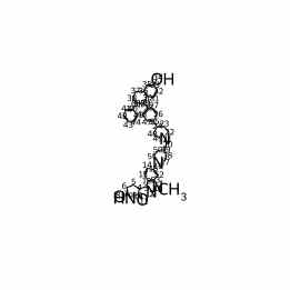 Cn1nc(C2CCC(=O)NC2=O)c2ccc(N3CCC(CN4CCC(c5ccc([C@@H]6c7ccc(O)cc7CC[C@@H]6c6ccccc6)cc5)CC4)CC3)cc21